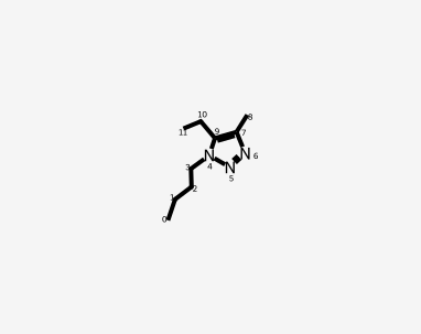 CCCCn1nnc(C)c1CC